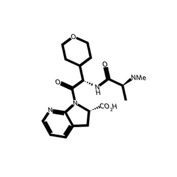 CN[C@@H](C)C(=O)N[C@H](C(=O)N1c2ncccc2C[C@H]1C(=O)O)C1CCOCC1